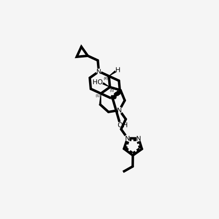 CCc1cnn(CCN2CC[C@]34CCN(CC5CC5)[C@H](Cc5ccc(O)cc53)[C@]4(O)CC2)c1